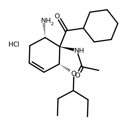 CCC(CC)O[C@@H]1C=CC[C@H](N)[C@]1(NC(C)=O)C(=O)C1CCCCC1.Cl